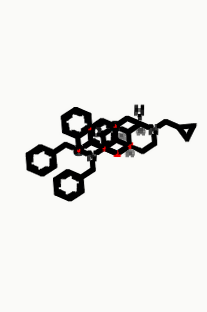 O=C1O[C@@]23CCC1(N(Cc1ccccc1)Cc1ccccc1)C[C@@]21CCN(CC2CC2)[C@@H]3Cc2ccc(OCc3ccccc3)cc21